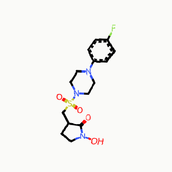 O=C1C(CS(=O)(=O)N2CCN(c3ccc(F)cc3)CC2)CCN1O